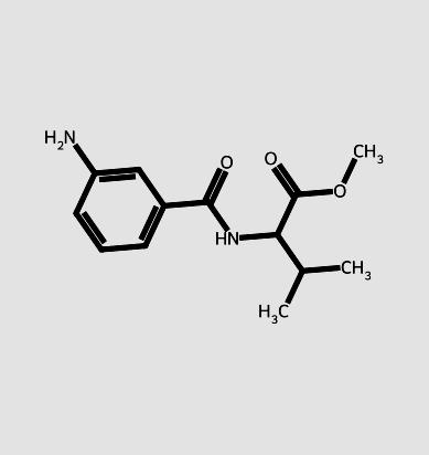 COC(=O)C(NC(=O)c1cccc(N)c1)C(C)C